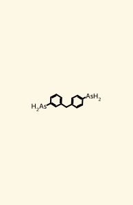 [AsH2]c1ccc(Cc2cccc([AsH2])c2)cc1